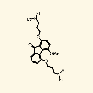 CCN(CC)CCCOc1ccc(OC)c2c1C(=O)c1cccc(OCCCN(CC)CC)c1-2